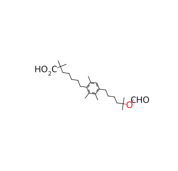 Cc1cc(CCCCC(C)(C)OC=O)c(C)c(C)c1CCCCCC(C)(C)C(=O)O